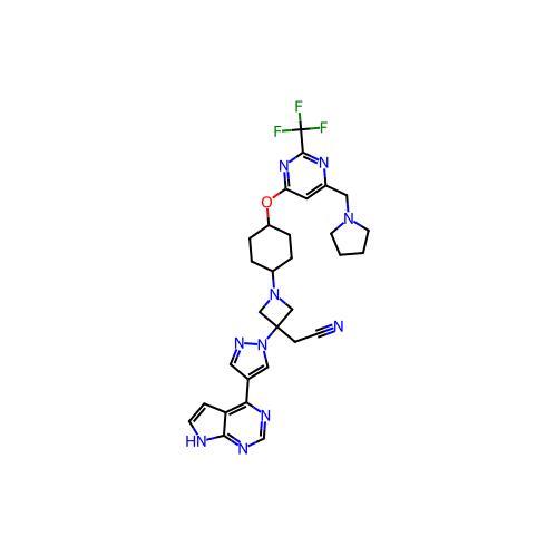 N#CCC1(n2cc(-c3ncnc4[nH]ccc34)cn2)CN(C2CCC(Oc3cc(CN4CCCC4)nc(C(F)(F)F)n3)CC2)C1